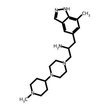 Cc1cc(CC(N)CN2CCN(C3CCN(C)CC3)CC2)cc2cn[nH]c12